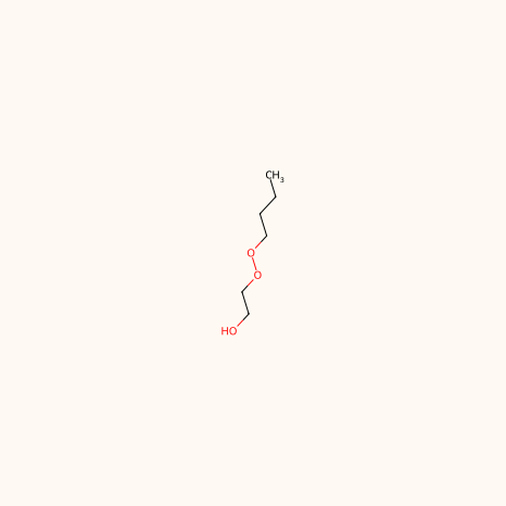 CCCCOOCCO